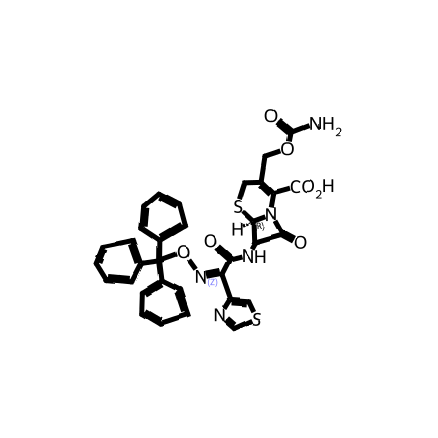 NC(=O)OCC1=C(C(=O)O)N2C(=O)C(NC(=O)/C(=N\OC(c3ccccc3)(c3ccccc3)c3ccccc3)c3cscn3)[C@H]2SC1